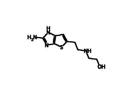 Nc1nc2sc(CCNCCO)cc2[nH]1